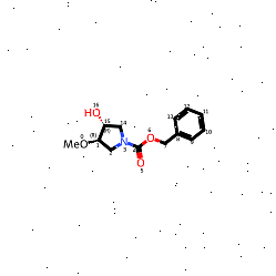 CO[C@@H]1CN(C(=O)OCc2ccccc2)C[C@H]1O